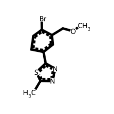 COCc1cc(-c2nnc(C)s2)ccc1Br